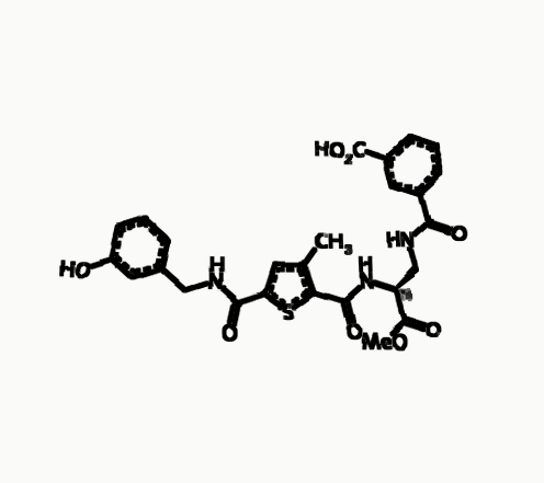 COC(=O)[C@H](CNC(=O)c1cccc(C(=O)O)c1)NC(=O)c1sc(C(=O)NCc2cccc(O)c2)cc1C